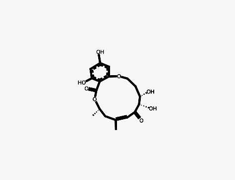 C/C1=C/C(=O)[C@@H](O)[C@@H](O)CCOc2cc(O)cc(O)c2C(=O)O[C@@H](C)C1